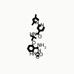 Cc1cc(C)n(-c2cc(C(=O)NC(C)(C)COc3cccc4c3C(N)=NS(=O)(=O)N4)ccn2)c1